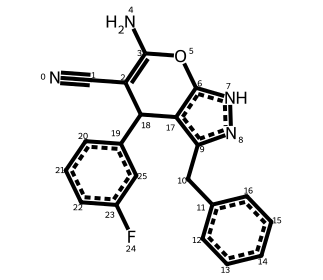 N#CC1=C(N)Oc2[nH]nc(Cc3ccccc3)c2C1c1cccc(F)c1